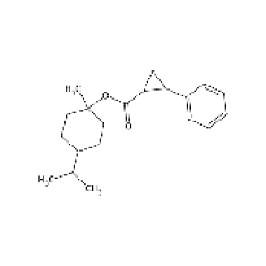 CC(C)C1CCC(C)(OC(=O)C2CC2c2ccccc2)CC1